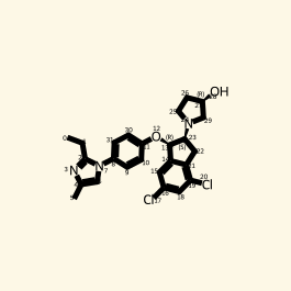 CCc1nc(C)cn1-c1ccc(O[C@@H]2c3cc(Cl)cc(Cl)c3C[C@@H]2N2CC[C@@H](O)C2)cc1